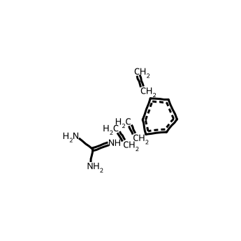 C=C.C=C.C=C.N=C(N)N.c1ccccc1